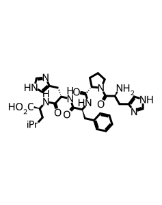 CC(C)C[C@H](NC(=O)[C@H](Cc1c[nH]cn1)NC(=O)[C@H](Cc1ccccc1)NC(=O)[C@@H]1CCCN1C(=O)[C@@H](N)Cc1c[nH]cn1)C(=O)O